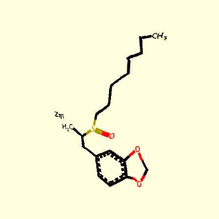 CCCCCCCCS(=O)C(C)Cc1ccc2c(c1)OCO2.[Ti].[Zr]